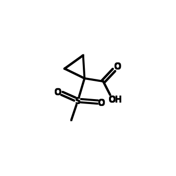 CS(=O)(=O)C1(C(=O)O)CC1